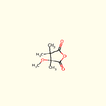 COC1(C)C(=O)OC(=O)C1(C)C